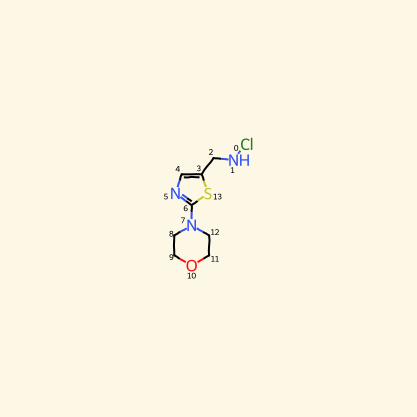 ClNCc1cnc(N2CCOCC2)s1